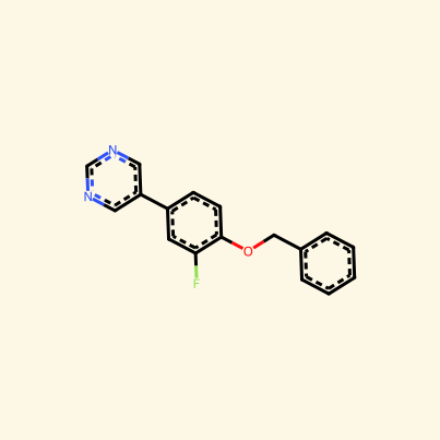 Fc1cc(-c2cncnc2)ccc1OCc1ccccc1